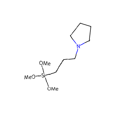 CO[Si](CCCN1CCCC1)(OC)OC